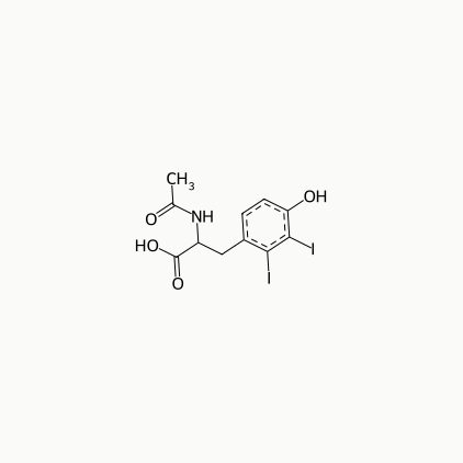 CC(=O)NC(Cc1ccc(O)c(I)c1I)C(=O)O